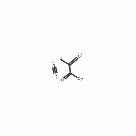 CC(=O)C(=O)O.N#N